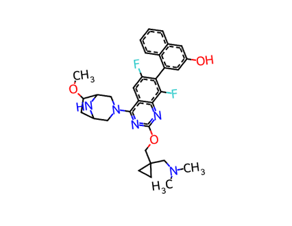 COC1CC2CN(c3nc(OCC4(CN(C)C)CC4)nc4c(F)c(-c5cc(O)cc6ccccc56)c(F)cc34)CC1N2